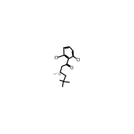 C[C@H](CC(=O)c1c(Cl)cccc1Cl)CC(C)(C)C